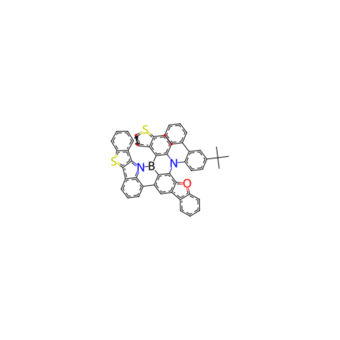 CC(C)(C)c1ccc(N2c3ccc4sc5ccccc5c4c3B3c4c(cc5c(oc6ccccc65)c42)-c2cccc4c5sc6ccccc6c5n3c24)c(-c2ccccc2)c1